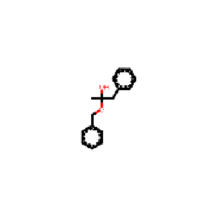 CC(O)(Cc1ccccc1)OCc1ccccc1